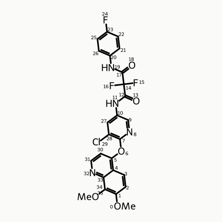 COc1ccc2c(Oc3ncc(NC(=O)C(F)(F)C(=O)Nc4ccc(F)cc4)cc3Cl)ccnc2c1OC